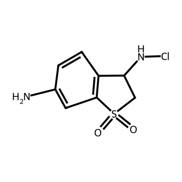 Nc1ccc2c(c1)S(=O)(=O)CC2NCl